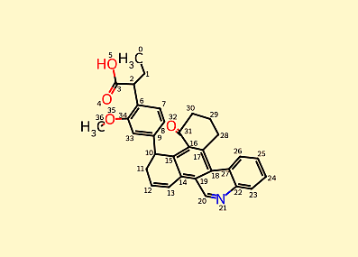 CCC(C(=O)O)c1ccc(C2CC=Cc3c2c2c(c4c3cnc3ccccc34)CCCC2=O)cc1OC